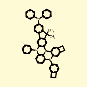 CC1(C)c2cc(N(c3ccccc3)c3ccccc3)ccc2-c2cc3c(cc21)B1c2cc4c(cc2N(c2ccc5c(c2)CC5)c2cccc(c21)N3c1ccccc1)CC4